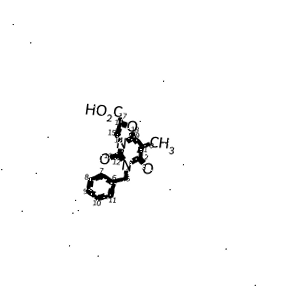 Cc1c(=O)n(Cc2ccccc2)c(=O)n2cc(C(=O)O)oc12